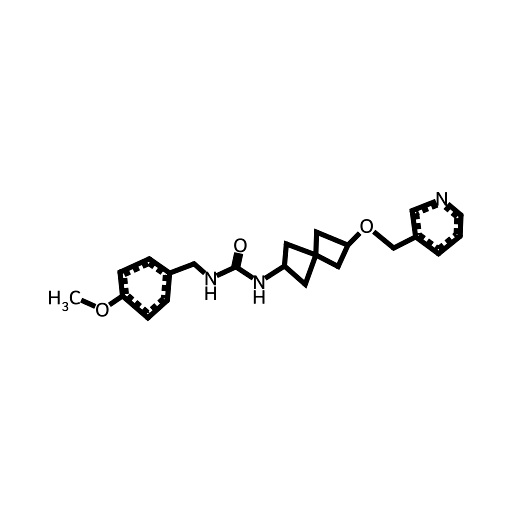 COc1ccc(CNC(=O)NC2CC3(C2)CC(OCc2cccnc2)C3)cc1